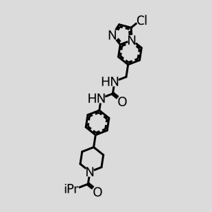 CC(C)C(=O)N1CCC(c2ccc(NC(=O)NCc3ccn4c(Cl)cnc4c3)cc2)CC1